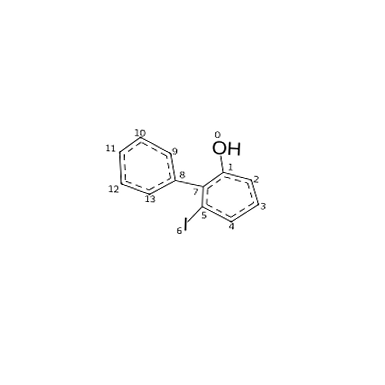 Oc1cccc(I)c1-c1ccccc1